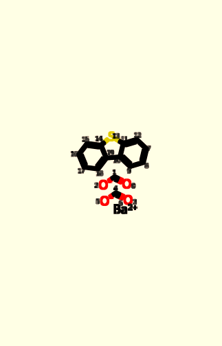 O=C[O-].O=C[O-].[Ba+2].c1ccc2c(c1)sc1ccccc12